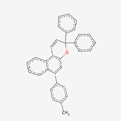 Cc1ccc(-c2cc3c(c4ccccc24)C=CC(c2ccccc2)(c2ccccc2)O3)cc1